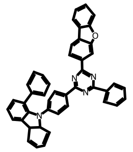 C1=CC2c3cccc(-c4ccccc4)c3N(c3ccc(-c4nc(-c5ccccc5)nc(-c5ccc6c(c5)oc5ccccc56)n4)cc3)C2C=C1